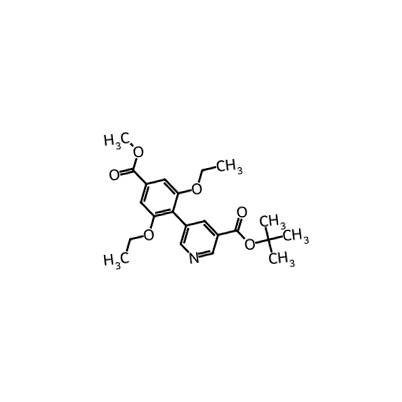 CCOc1cc(C(=O)OC)cc(OCC)c1-c1cncc(C(=O)OC(C)(C)C)c1